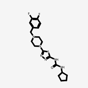 O=C(Nc1nnc(N2CCN(Cc3ccc(F)c(F)c3)CC2)s1)NC1CCCC1